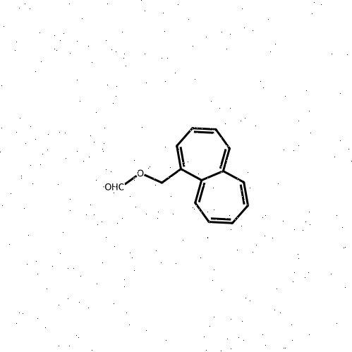 O=[C]OCC1=CC=CC=C2C=CC=CC=C21